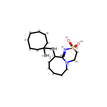 BC1(BC2CCCCCN3CCS(=O)(=O)N=C23)CCCCCCC1